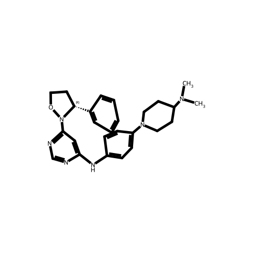 CN(C)C1CCN(c2ccc(Nc3cc(N4OCC[C@@H]4c4ccccc4)ncn3)cc2)CC1